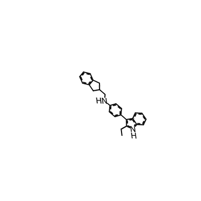 CCc1[nH]c2ccccc2c1-c1ccc(NCC2Cc3ccccc3C2)cc1